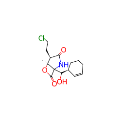 C[C@@]12OC(=O)C1(C(O)[C@@H]1C=CCCC1)NC(=O)[C@@H]2CCCl